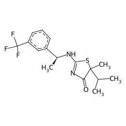 CC(C)C1(C)SC(N[C@@H](C)c2cccc(C(F)(F)F)c2)=NC1=O